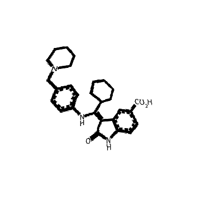 O=C1Nc2ccc(C(=O)O)cc2/C1=C(/Nc1ccc(CN2CCCCC2)cc1)C1CCCCC1